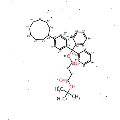 CC(C)(C)OC(=O)CCC(=O)OC(c1ccccc1)(c1ccc(C2CCCCCCCC2)cc1)c1ccccc1Cl